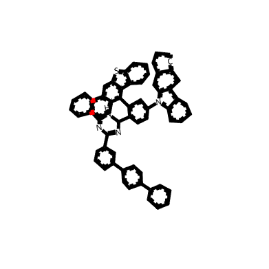 c1ccc(C2=NC(c3cccc(-c4ccc(-c5ccccc5)cc4)c3)=NC(c3ccc(-n4c5ccccc5c5cc6ccccc6cc54)cc3-c3c4ccccc4cc4sc5ccccc5c34)N2)cc1